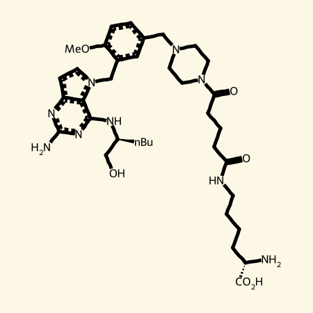 CCCC[C@@H](CO)Nc1nc(N)nc2ccn(Cc3cc(CN4CCN(C(=O)CCCC(=O)NCCCC[C@H](N)C(=O)O)CC4)ccc3OC)c12